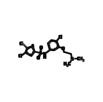 CN(C)CCOc1cc(NS(=O)(=O)c2cc(Cl)c(Cl)s2)ccc1Cl